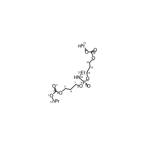 CCCOC(=O)OCCCOP(=O)(NCC)OCCCOC(=O)OCCC